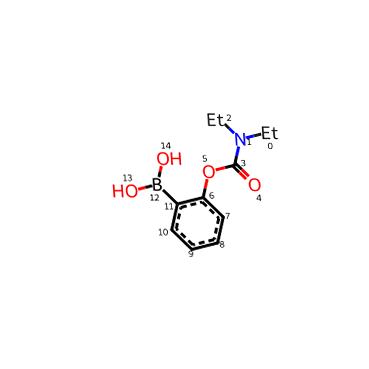 CCN(CC)C(=O)Oc1ccccc1B(O)O